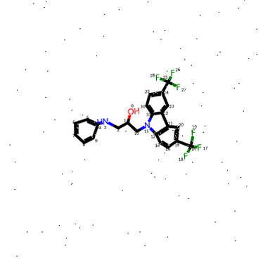 OC(CNc1ccccc1)Cn1c2ccc(C(F)(F)F)cc2c2cc(C(F)(F)F)ccc21